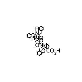 CC(NC(=O)[C@H](Cc1ccccc1)NC(=O)Cc1ccccc1)C(=O)C(=O)N[C@@H](Cc1ccccc1)C(=O)N1CCC[C@H]1C(=O)O